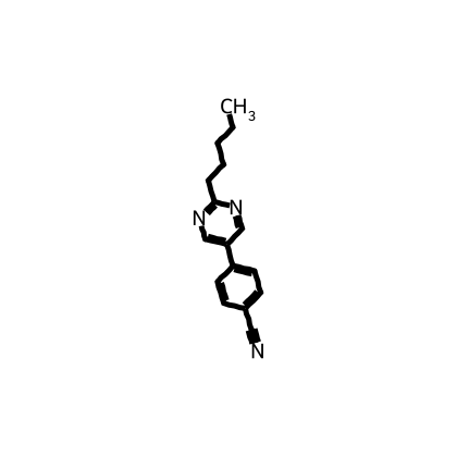 CCCCCc1ncc(-c2ccc(C#N)cc2)cn1